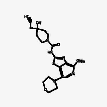 C#CCC1(O)CCN(C(=O)Nc2nc3c(OC)ncc(N4CCOCC4)c3s2)CC1